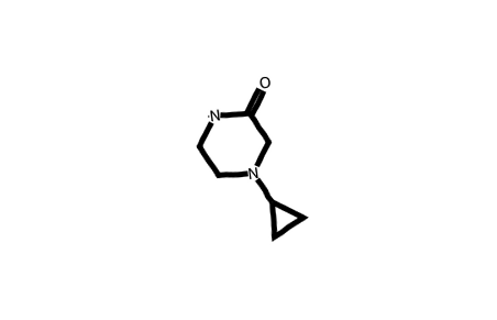 O=C1CN(C2CC2)CC[N]1